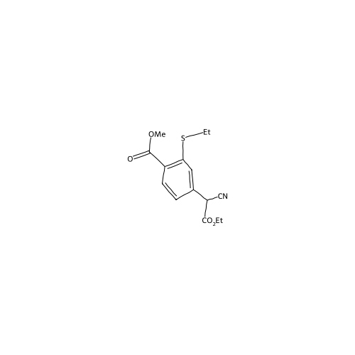 CCOC(=O)C(C#N)c1ccc(C(=O)OC)c(SCC)c1